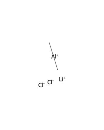 [CH3][Al+][CH3].[Cl-].[Cl-].[Li+]